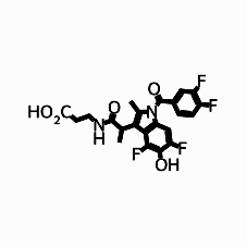 Cc1c(C(C)C(=O)NCCC(=O)O)c2c(F)c(O)c(F)cc2n1C(=O)c1ccc(F)c(F)c1